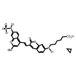 C1CC1.CCN(CCCCCC(=O)O)c1ccc2cc(C=Cc3cc(C(C)(C)C)[o+]c4cc(N(CC)S(=O)(=O)[O-])ccc34)c(=O)oc2c1